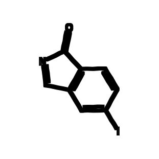 O=C1N=Cc2cc(I)ccc21